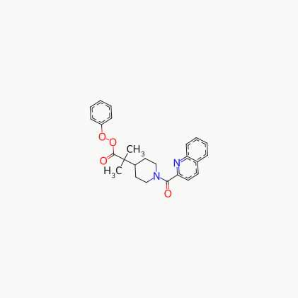 CC(C)(C(=O)OOc1ccccc1)C1CCN(C(=O)c2ccc3ccccc3n2)CC1